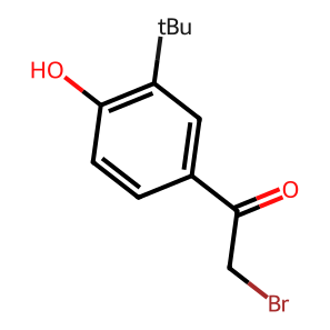 CC(C)(C)c1cc(C(=O)CBr)ccc1O